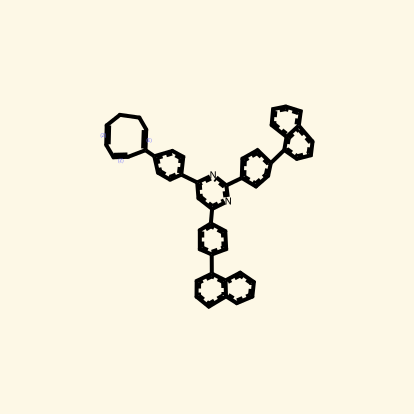 C1=C/CC\C=C(c2ccc(-c3cc(-c4ccc(-c5cccc6ccccc56)cc4)nc(-c4ccc(-c5cccc6ccccc56)cc4)n3)cc2)/C=C\1